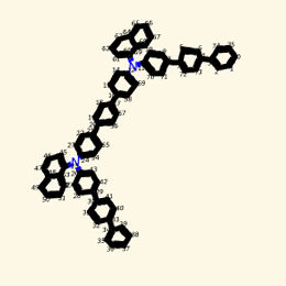 c1ccc(-c2ccc(-c3ccc(N(c4ccc(-c5ccc(-c6ccc(N(c7ccc(-c8ccc(-c9ccccc9)cc8)cc7)c7cccc8ccccc78)cc6)cc5)cc4)c4cccc5ccccc45)cc3)cc2)cc1